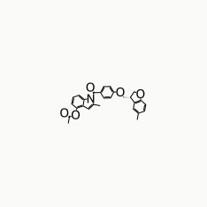 CC(=O)Oc1cccc2c1cc(C)n2C(=O)c1ccc(OC[C@@H]2COc3ccc(C)cc32)cc1